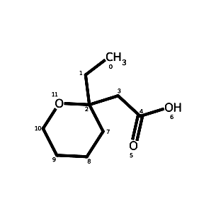 CCC1(CC(=O)O)CCCCO1